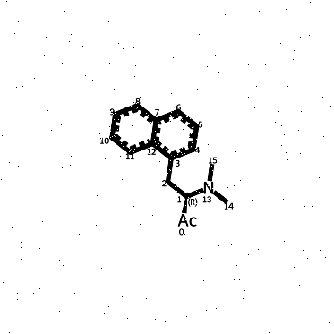 CC(=O)[C@@H](Cc1cccc2ccccc12)N(C)C